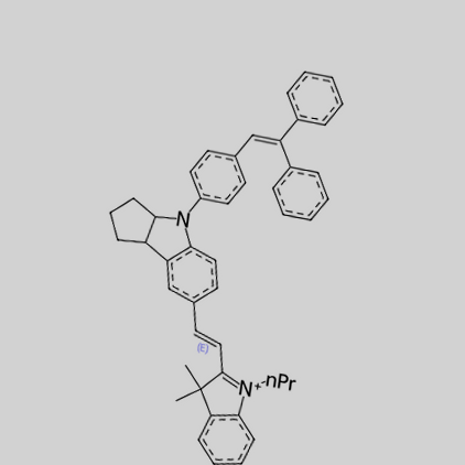 CCC[N+]1=C(/C=C/c2ccc3c(c2)C2CCCC2N3c2ccc(C=C(c3ccccc3)c3ccccc3)cc2)C(C)(C)c2ccccc21